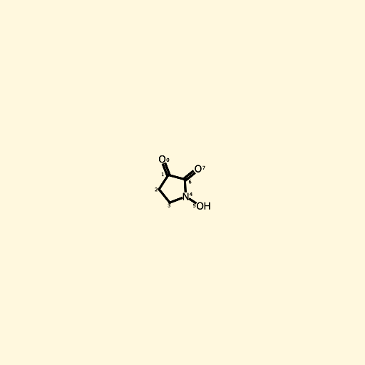 O=C1CCN(O)C1=O